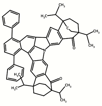 CC(C)C12CCC(C(C)C)(CC1)c1cc3c4cc5c(-c6ccccc6)ccc(-c6ccccc6)c5c5c6cc7c(cc6n(c3cc1C2=O)c45)C(=O)C1(C(C)C)CCC7(C(C)C)CC1